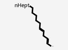 [CH2]C=CCC=CCCCCCCCCCCC[CH2]